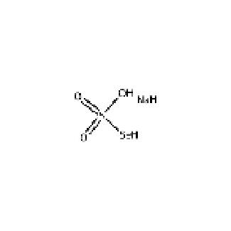 O=S(=O)(O)[SeH].[NaH]